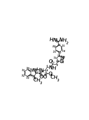 COC(=O)C(CNC(=O)CC1CC(c2ccc(C(=N)N)cc2)=NO1)NC(=O)C1=Nc2ccccc2C1C